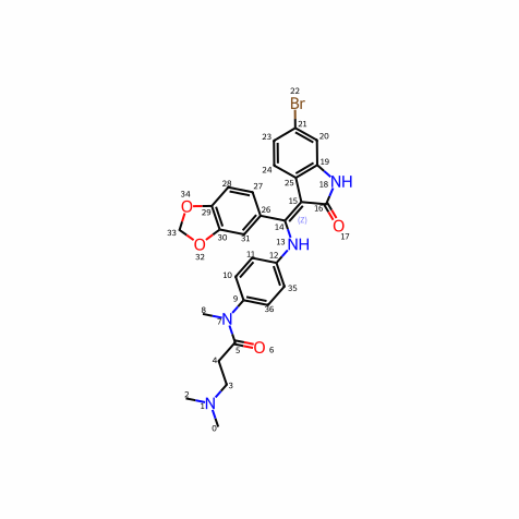 CN(C)CCC(=O)N(C)c1ccc(N/C(=C2\C(=O)Nc3cc(Br)ccc32)c2ccc3c(c2)OCO3)cc1